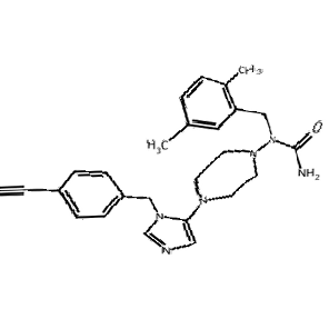 Cc1ccc(C)c(CN(C(N)=O)N2CCN(c3cncn3Cc3ccc(C#N)cc3)CC2)c1